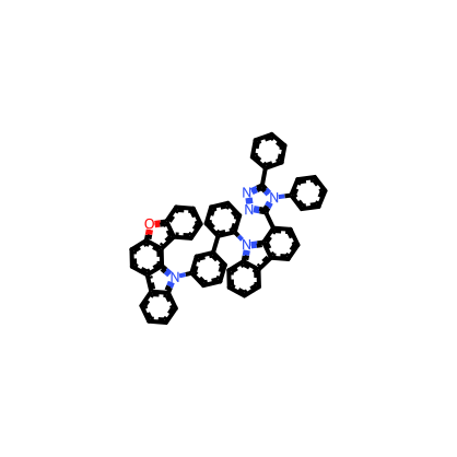 c1ccc(-c2nnc(-c3cccc4c5ccccc5n(-c5ccccc5-c5cccc(-n6c7ccccc7c7ccc8oc9ccccc9c8c76)c5)c34)n2-c2ccccc2)cc1